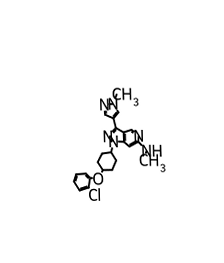 CNc1cc2c(cn1)c(-c1cnn(C)c1)nn2C1CCC(Oc2ccccc2Cl)CC1